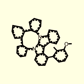 COc1cccc(-c2cccc3c2c2c4ccccc4n4c5ccccc5c5ccccc5c5ccccc5n3c24)c1C